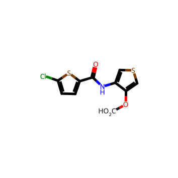 O=C(O)Oc1cscc1NC(=O)c1ccc(Cl)s1